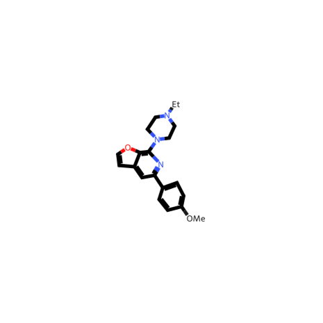 CCN1CCN(c2nc(-c3ccc(OC)cc3)cc3ccoc23)CC1